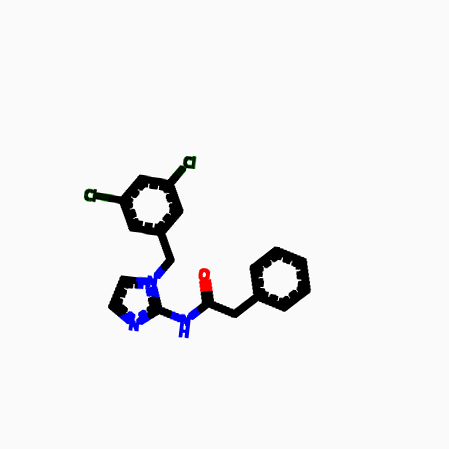 O=C(Cc1ccccc1)Nc1nccn1Cc1cc(Cl)cc(Cl)c1